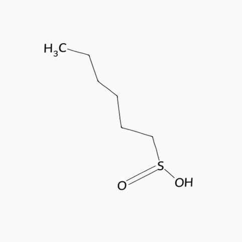 CCCCCCS(=O)O